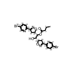 CCCC(=O)OC(C(O)[C@@H]1CC(c2ccc(Br)cn2)=NO1)[C@@H]1CC(c2ccc(Br)cn2)=NO1